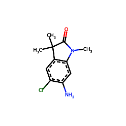 CN1C(=O)C(C)(C)c2cc(Cl)c(N)cc21